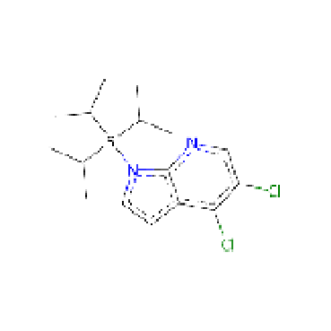 CC(C)[Si](C(C)C)(C(C)C)n1ccc2c(Cl)c(Cl)cnc21